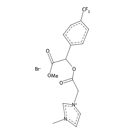 COC(=O)C(OC(=O)C[n+]1ccn(C)c1)c1ccc(C(F)(F)F)cc1.[Br-]